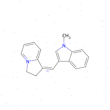 Cn1cc(/C=C2/CC[n+]3ccccc32)c2ccccc21